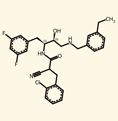 CCc1cccc(CNC[C@H](O)[C@H](Cc2cc(F)cc(F)c2)NC(=O)C(C#N)Cc2ccccc2Cl)c1